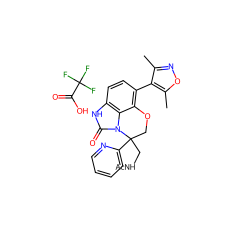 CC(=O)NCC1(c2ccccn2)COc2c(-c3c(C)noc3C)ccc3[nH]c(=O)n1c23.O=C(O)C(F)(F)F